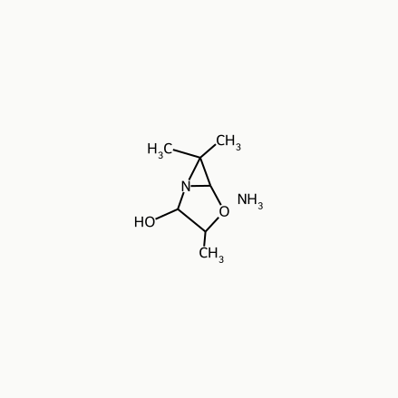 CC1OC2N(C1O)C2(C)C.N